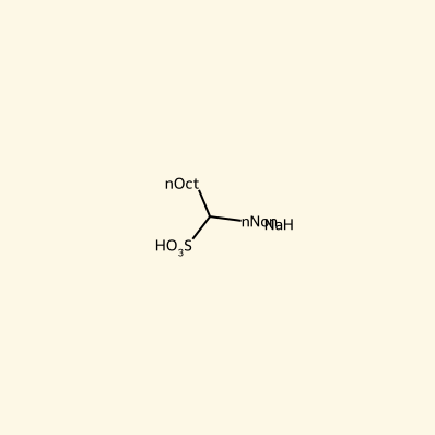 CCCCCCCCCC(CCCCCCCC)S(=O)(=O)O.[NaH]